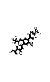 C=C(CC)c1cn2c(cc1=O)-c1cc(OC)c(-c3cnc(N(C)C)nc3)cc1CC2C(C)(C)C